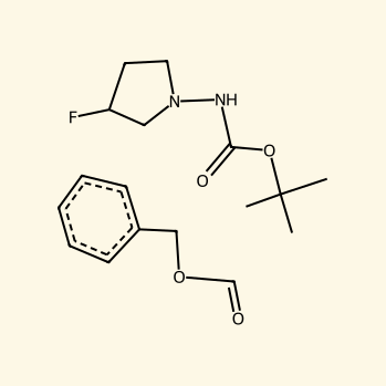 CC(C)(C)OC(=O)NN1CCC(F)C1.O=COCc1ccccc1